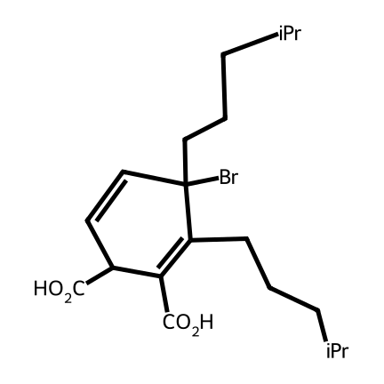 CC(C)CCCC1=C(C(=O)O)C(C(=O)O)C=CC1(Br)CCCC(C)C